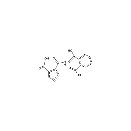 O=C(O)c1ccccc1C(=O)O.O=C(O)c1cocc1C(=O)O